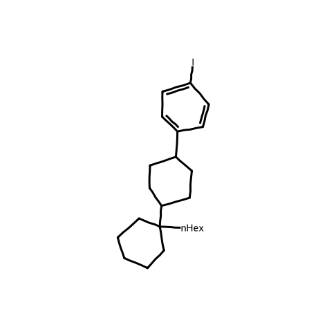 CCCCCCC1(C2CCC(c3ccc(I)cc3)CC2)CCCCC1